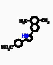 Cc1ccc(C)c2cc(-c3ccc(-c4ccc(C(=O)O)cc4)[nH]3)ccc12